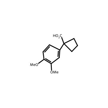 COc1ccc(C2(C(=O)O)CCC2)cc1OC